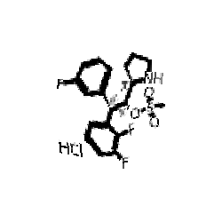 CS(=O)(=O)O[C@H]([C@H](c1cccc(F)c1)c1cccc(F)c1F)[C@H]1CCCN1.Cl